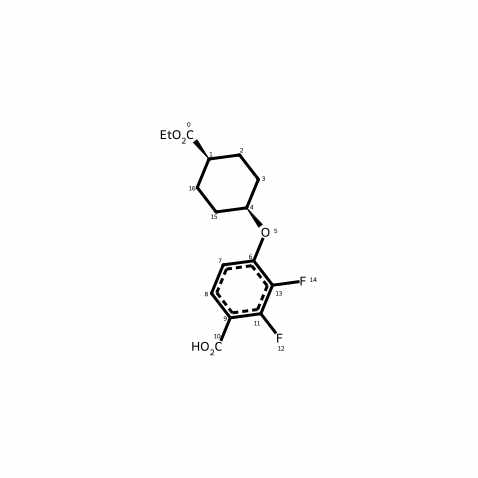 CCOC(=O)[C@H]1CC[C@@H](Oc2ccc(C(=O)O)c(F)c2F)CC1